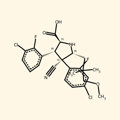 COCC(C)(C)C[C@H]1N[C@H](C(=O)O)[C@@H](c2cccc(Cl)c2F)[C@]1(C#N)c1ccc(Cl)cc1F